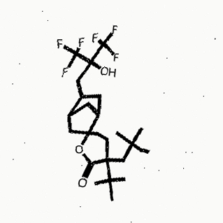 CC(C)(C)CC1(C(C)(C)C)CC2(CC3CC2CC3CC(O)(C(F)(F)F)C(F)(F)F)OC1=O